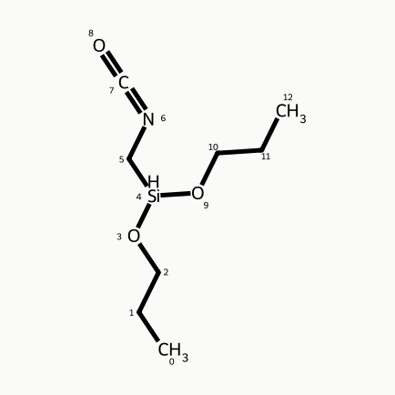 CCCO[SiH](CN=C=O)OCCC